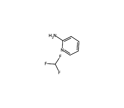 FC(F)F.Nc1ccccn1